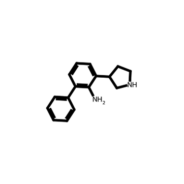 Nc1c(-c2ccccc2)cccc1C1CCNC1